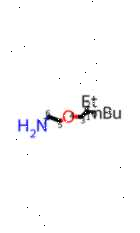 CCCCC(CC)COCCN